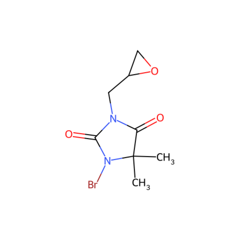 CC1(C)C(=O)N(CC2CO2)C(=O)N1Br